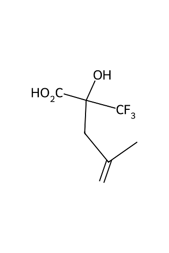 C=C(C)CC(O)(C(=O)O)C(F)(F)F